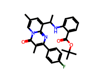 Cc1cc(C(C)Nc2ccccc2C(=O)OC(C)(C)C)c2nc(-c3ccc(F)cc3)c(C)c(=O)n2c1